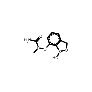 CP(Oc1cccc2c1B(O)OC2)C(N)=O